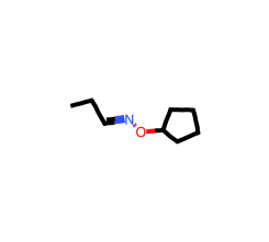 CC/C=N/OC1CCCC1